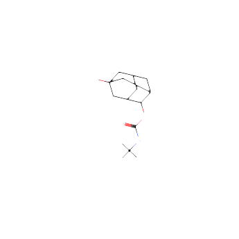 CC(C)(C)NC(=O)OC1C2CC3CC1CC(O)(C3)C2